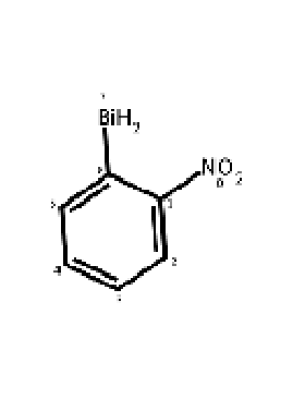 O=[N+]([O-])c1cccc[c]1[BiH2]